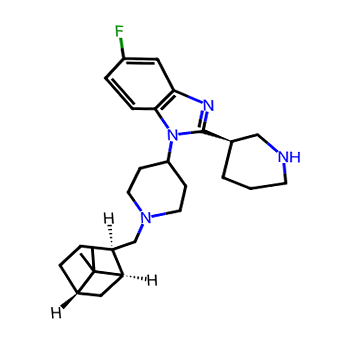 CC1(C)[C@H]2CC[C@@H](CN3CCC(n4c([C@@H]5CCCNC5)nc5cc(F)ccc54)CC3)[C@H]1C2